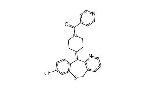 O=C(c1ccncc1)N1CCC(=C2c3ccc(Cl)cc3SCc3cccnc32)CC1